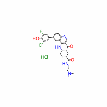 CC(=O)c1cnc2ccc(-c3cc(F)c(O)c(Cl)c3)cc2c1NC1CCC(C(=O)NCCN(C)C)CC1.Cl